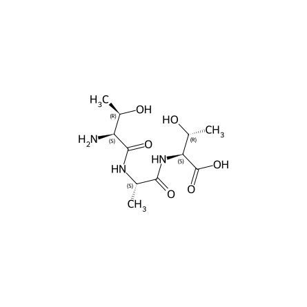 C[C@H](NC(=O)[C@@H](N)[C@@H](C)O)C(=O)N[C@H](C(=O)O)[C@@H](C)O